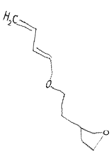 C=CC=COCCC1CO1